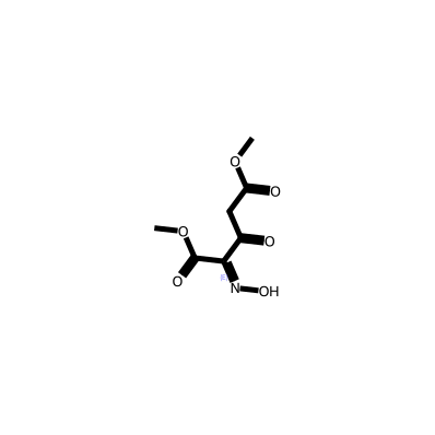 COC(=O)CC(=O)/C(=N\O)C(=O)OC